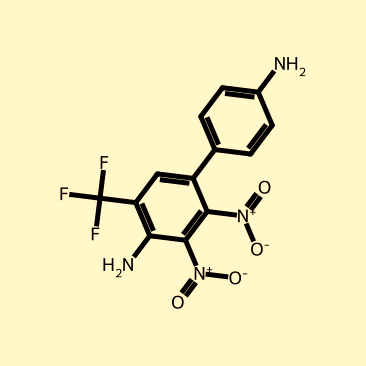 Nc1ccc(-c2cc(C(F)(F)F)c(N)c([N+](=O)[O-])c2[N+](=O)[O-])cc1